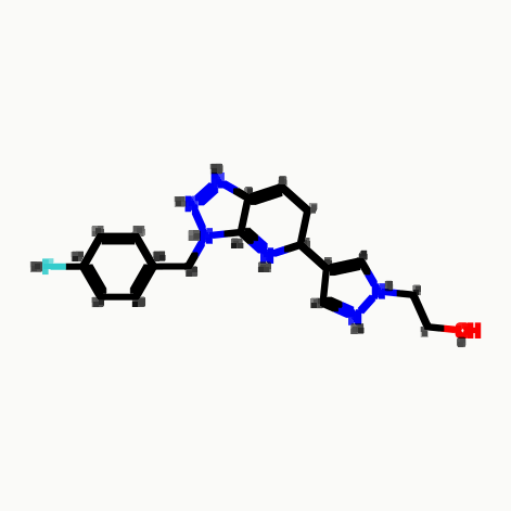 OCCn1cc(C2CC=c3nnn(Cc4ccc(F)cc4)c3=N2)cn1